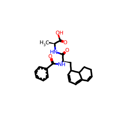 C[C@H](NC(=O)[C@@H](CC1C=CC=C2C=CCCC21)NC(=O)c1ccccc1)C(=O)O